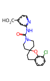 O=C(O)c1ccnc(NC(=O)N2CCC3(CCc4cccc(Cl)c4O3)CC2)c1